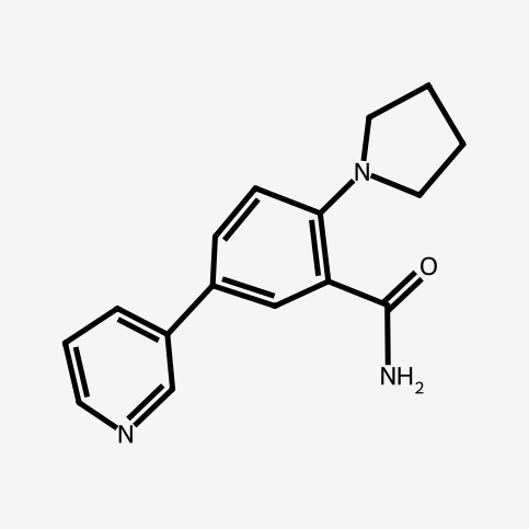 NC(=O)c1cc(-c2cccnc2)ccc1N1CCCC1